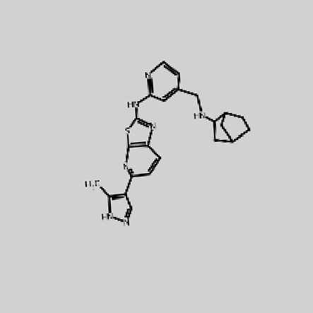 Cc1[nH]ncc1-c1ccc2nc(Nc3cc(CNC4CC5CCC4C5)ccn3)sc2n1